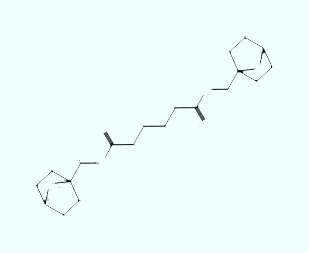 O=C(CCCCC(=O)OCC12CCC(CC1)O2)OCC12CCC(CC1)O2